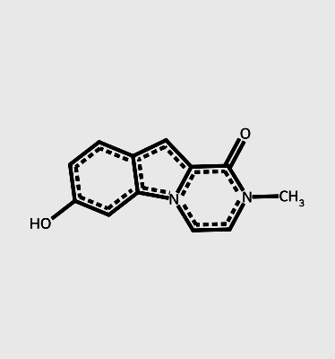 Cn1ccn2c(cc3ccc(O)cc32)c1=O